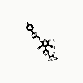 CC(C(=O)O)n1cc(-c2c(C#N)c(N)nc(SCc3csc(-c4ccc(Cl)cc4)n3)c2C#N)cn1